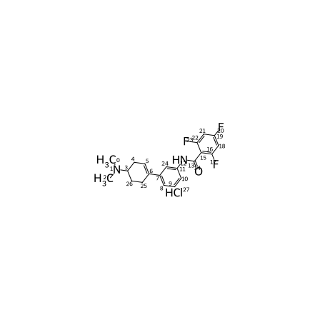 CN(C)C1CC=C(c2cccc(NC(=O)c3c(F)cc(F)cc3F)c2)CC1.Cl